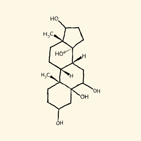 C[C@]12CCC(O)CC1(O)C(O)C[C@@H]1[C@H]2CC[C@]2(C)C(O)CC[C@@]12O